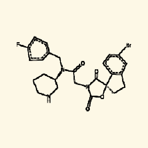 O=C1O[C@@]2(CCc3cc(Br)ccc32)C(=O)N1CC(=O)N(Cc1ccc(F)cc1)[C@@H]1CCCNC1